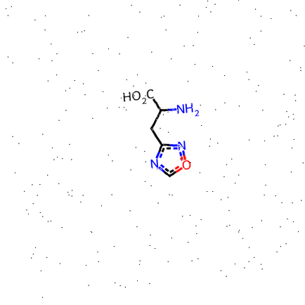 NC(Cc1ncon1)C(=O)O